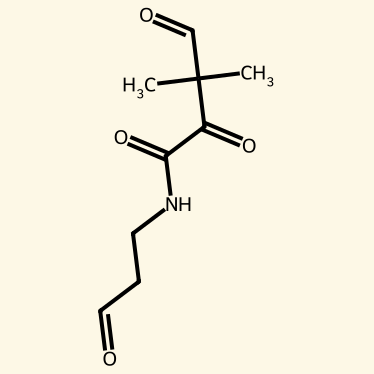 CC(C)(C=O)C(=O)C(=O)NCCC=O